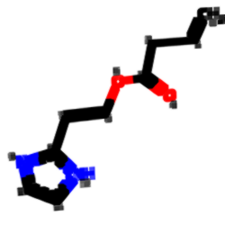 C=CCC(=O)OC=Cc1ncc[nH]1